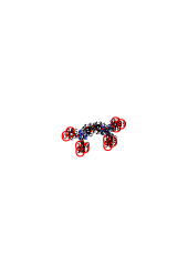 O=C1CC(CCN(CCC2COC(=O)O2)c2ccc(Cc3ccc(N(CCC4COC(=O)O4)CCC4COC(=O)O4)cc3)cc2)CO1